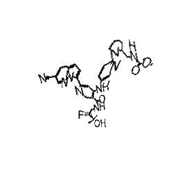 COC(=O)NCC1CCCN1c1ccc(Nc2cc(-c3ccc4cc(C#N)cnn34)ncc2C(=O)NC[C@@H](F)C(C)(C)O)cn1